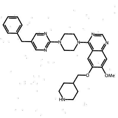 COc1cc2ncnc(N3CCN(c4ncc(Cc5ccccc5)cn4)CC3)c2cc1OCC1CCNCC1